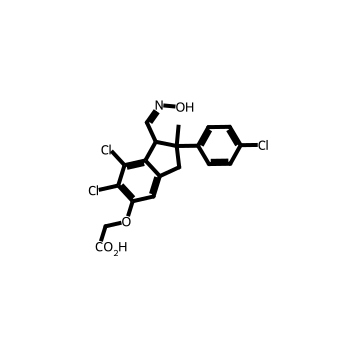 CC1(c2ccc(Cl)cc2)Cc2cc(OCC(=O)O)c(Cl)c(Cl)c2C1/C=N\O